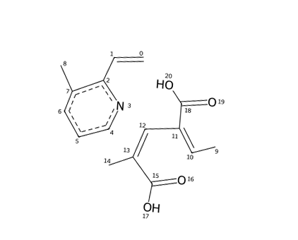 C=Cc1ncccc1C.CC=C(C=C(C)C(=O)O)C(=O)O